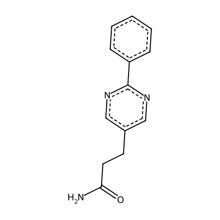 NC(=O)CCc1cnc(-c2ccccc2)nc1